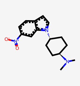 CN(C)[C@H]1CC[C@H](n2ccc3ccc([N+](=O)[O-])cc32)CC1